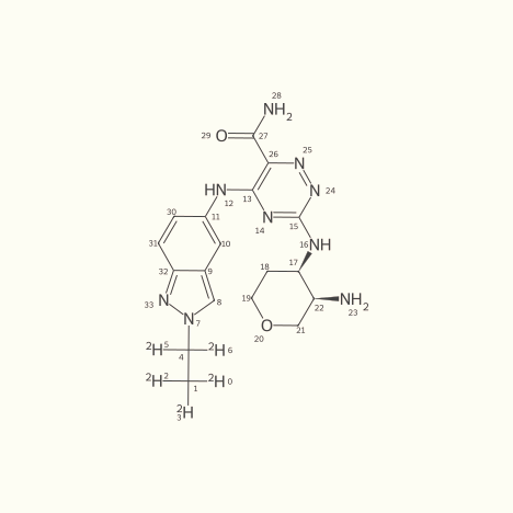 [2H]C([2H])([2H])C([2H])([2H])n1cc2cc(Nc3nc(N[C@@H]4CCOC[C@@H]4N)nnc3C(N)=O)ccc2n1